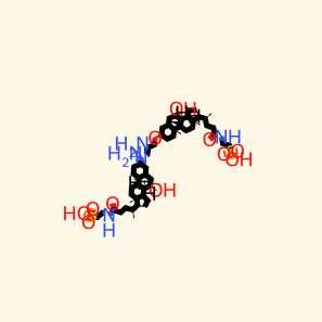 C[C@H](CCC(=O)NCCS(=O)(=O)O)[C@H]1CC[C@H]2[C@@H]3[C@@H](O)CC4CC(N(N)/C=C(\N)CO[C@@H]5CC[C@@]6(C)C(C5)C[C@H](O)[C@H]5[C@@H]7CC[C@H]([C@H](C)CCC(=O)NCCS(=O)(=O)O)[C@@]7(C)CC[C@@H]56)CC[C@]4(C)[C@H]3CC[C@]12C